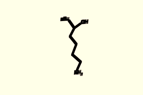 CCCCC(O)CCCCN